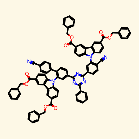 N#Cc1ccc(-c2ccc(-c3nc(-c4ccccc4)nc(-c4ccc(C#N)c(-n5c6ccc(C(=O)OCc7ccccc7)cc6c6cc(C(=O)OCc7ccccc7)ccc65)c4)n3)cc2-n2c3ccc(C(=O)OCc4ccccc4)cc3c3cc(C(=O)OCc4ccccc4)ccc32)cc1